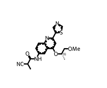 COC[C@H](C)Oc1cc(-c2cncs2)nc2ccc(NC(=O)C(C)C#N)cc12